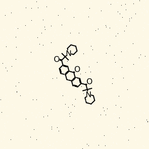 CC(C)(C(=O)c1ccc2c(c1)C(=O)c1cc(C(=O)C(C)(C)N3CCCCC3)ccc1C2)N1CCCCC1